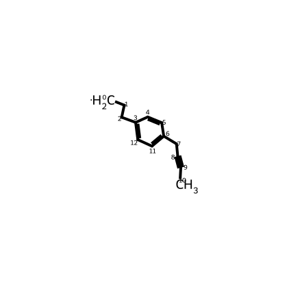 [CH2]CCc1ccc(CC#CC)cc1